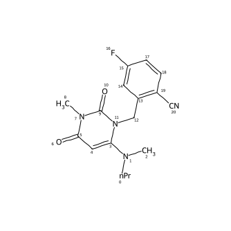 CCCN(C)c1cc(=O)n(C)c(=O)n1Cc1cc(F)ccc1C#N